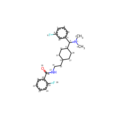 CN(C)C(c1cccc(F)c1)C1CCC(CCNC(=O)c2ccccc2F)CC1